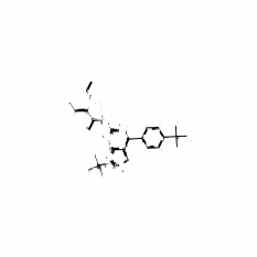 C=CS/C(=C\C)C(=C)Nc1nc(-c2ccc(C(C)(C)C)cc2)c2cnn(C(C)(C)C)c2n1